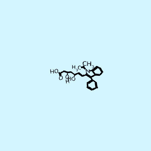 CC(C)n1c(C=C[C@@H](O)C[C@@H](O)CC(=O)O)c(-c2ccccc2)c2ccccc21